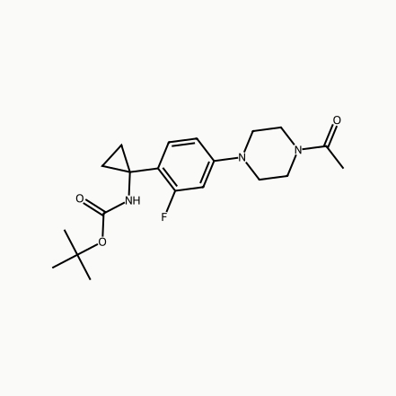 CC(=O)N1CCN(c2ccc(C3(NC(=O)OC(C)(C)C)CC3)c(F)c2)CC1